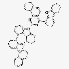 c1ccc2c(c1)ccc1c(-c3cccc4c3oc3ccccc34)nc(-n3c4cccc5c6cccc7c8c9ccccc9ccc8n(c8cccc3c8c54)c67)nc12